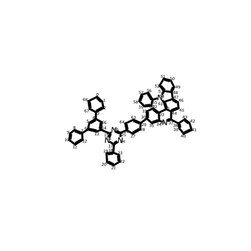 c1ccc(-c2cc(-c3ccccc3)cc(-c3nc(-c4ccccc4)nc(-c4ccc(-c5ccc6c(c5)nc(-c5ccccc5)c5ccc7c8ccccc8n(-c8ccccc8)c7c56)cc4)n3)c2)cc1